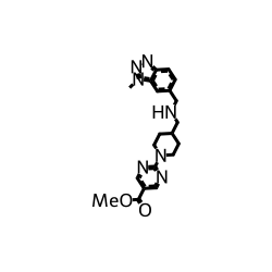 COC(=O)c1cnc(N2CCC(CNCc3ccc4nnn(C)c4c3)CC2)nc1